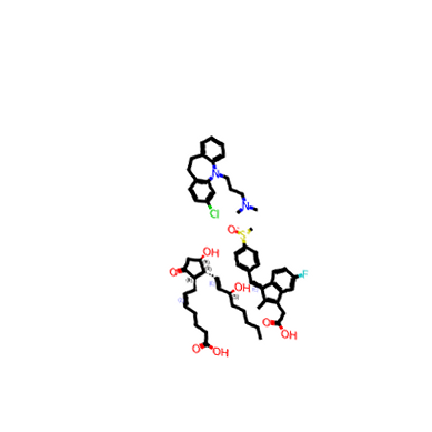 CC1=C(CC(=O)O)c2cc(F)ccc2/C1=C\c1ccc([S+](C)[O-])cc1.CCCCC[C@H](O)/C=C/[C@H]1[C@H](O)CC(=O)[C@@H]1C/C=C\CCCC(=O)O.CN(C)CCCN1c2ccccc2CCc2ccc(Cl)cc21